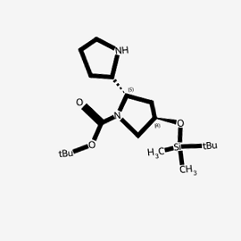 CC(C)(C)OC(=O)N1C[C@H](O[Si](C)(C)C(C)(C)C)C[C@H]1C1CCCN1